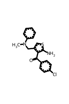 CN(Cc1csc(N)c1C(=O)c1ccc(Cl)cc1)c1ccccc1